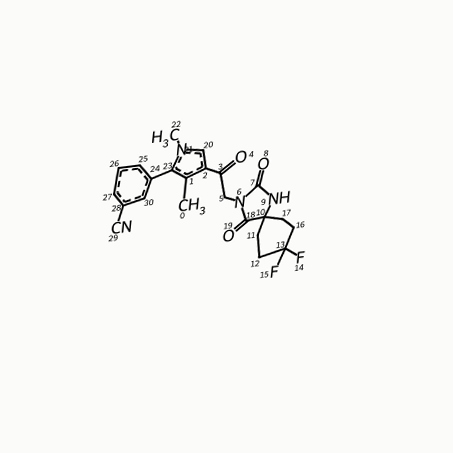 Cc1c(C(=O)CN2C(=O)NC3(CCC(F)(F)CC3)C2=O)cn(C)c1-c1cccc(C#N)c1